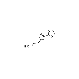 CCCCc1cc(C2OCCO2)cs1